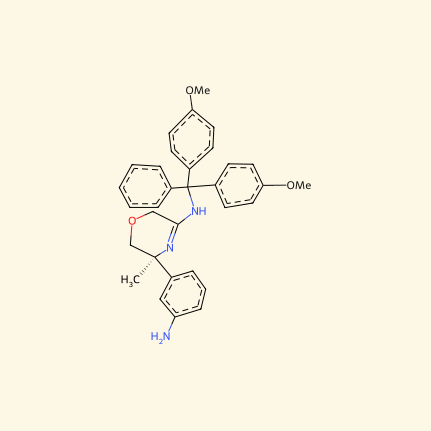 COc1ccc(C(NC2=N[C@@](C)(c3cccc(N)c3)COC2)(c2ccccc2)c2ccc(OC)cc2)cc1